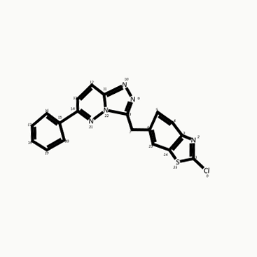 Clc1nc2ccc(Cc3nnc4ccc(-c5ccccc5)nn34)cc2s1